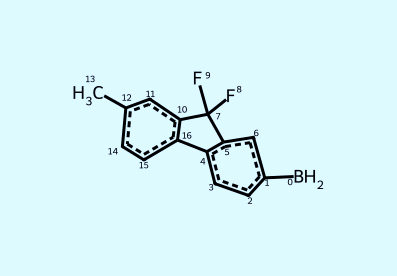 Bc1ccc2c(c1)C(F)(F)c1cc(C)ccc1-2